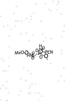 COc1ccc(CNS(=O)(=O)CCCn2c(C(=O)c3cc(C)cc(C#N)c3)c(C(C)C)c(=O)[nH]c2=O)cc1